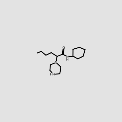 CCCCC(C(=O)NC1CCCCC1)N1CCNCC1